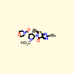 CCCCCCc1nc(C(C)(C)C)ncc1C(=O)N(CC(C)C)[C@H]1C[C@@H](C(=O)N2CCOCC2)CN(C(=O)O)C1